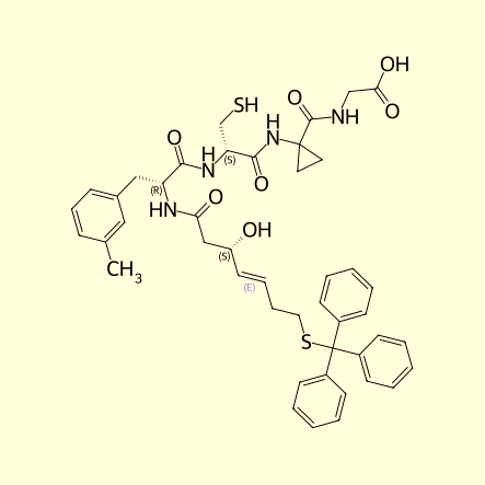 Cc1cccc(C[C@@H](NC(=O)C[C@H](O)/C=C/CCSC(c2ccccc2)(c2ccccc2)c2ccccc2)C(=O)N[C@H](CS)C(=O)NC2(C(=O)NCC(=O)O)CC2)c1